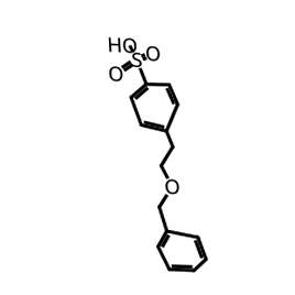 O=S(=O)(O)c1ccc(CCOCc2ccccc2)cc1